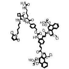 NC(=O)NCCC[C@H](NC(=O)C1(C(=O)NCCCCCN2C(=O)C=CC2=O)CCC1)C(=O)Nc1ccc(COC(=O)Nc2cc(C=CC(=O)N3C[C@@H](CCl)c4c3cc(OP(=O)(O)O)c3ccccc43)ccc2C=CC(=O)N2C[C@@H](CCl)c3c2cc(OP(=O)(O)O)c2ccccc32)cc1